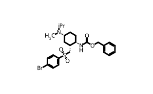 CC(C)N(C)[C@@H]1CC[C@H](NC(=O)OCc2ccccc2)[C@H](CS(=O)(=O)c2ccc(Br)cc2)C1